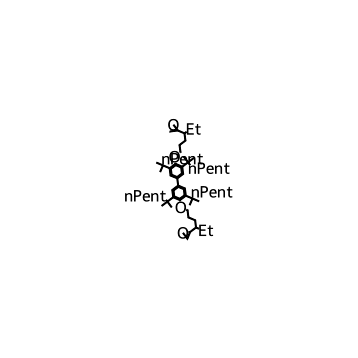 CCCCCC(C)(C)c1cc(-c2cc(C(C)(C)CCCCC)c(OCCCC(CC)C3CO3)c(C(C)(C)CCCCC)c2)cc(C(C)(C)CCCCC)c1OCCCC(CC)C1CO1